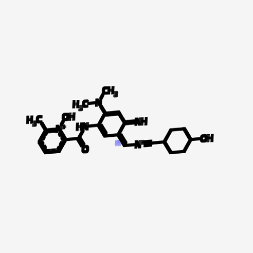 Cc1cccc(C(=O)NC2=C/C(=C/[N+]#CC3CCC(O)CC3)C(=N)C=C2N(C)C)[n+]1O